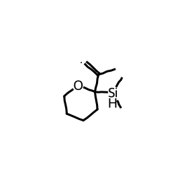 [CH]=C(C)C1([SiH](C)C)CCCCO1